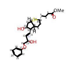 COC(=O)CCC[C@@H]1CC[C@@H]2[C@@H](/C=C/[C@@H](O)COc3ccccc3)[C@H](O)C[C@@H]2S1